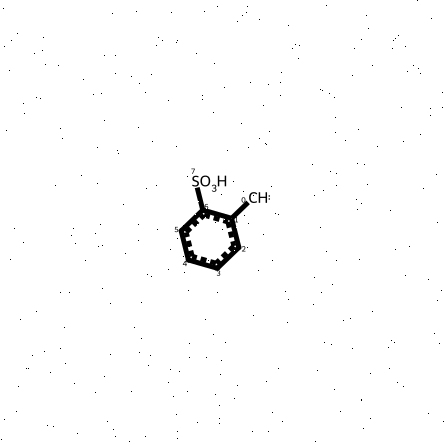 [CH]c1ccccc1S(=O)(=O)O